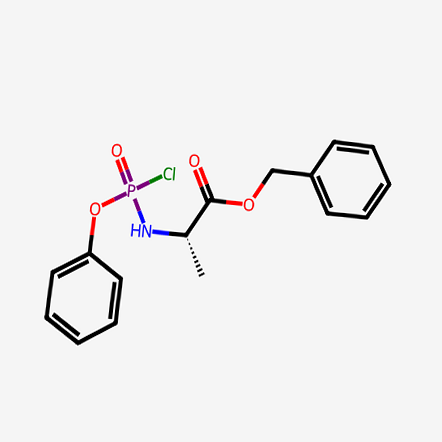 C[C@H](NP(=O)(Cl)Oc1ccccc1)C(=O)OCc1ccccc1